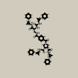 O=C(N[C@@H](CNC(=O)c1ccc(C(=O)N2C[C@@H](C(=O)N[C@H]3C[C@@H]3c3ccccc3)[C@H](C(=O)N[C@H]3C[C@@H]3c3ccccc3)C2)cc1)C(=O)N[C@H]1C[C@@H]1c1ccccc1)N[C@H]1C[C@@H]1c1ccccc1